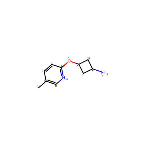 Cc1ccc(OC2CC(N)C2)nc1